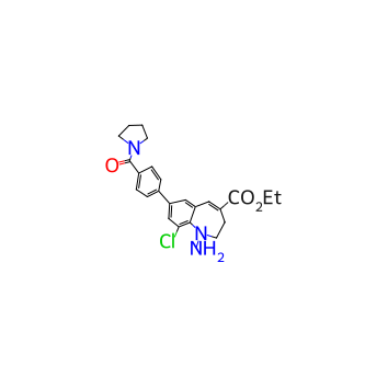 CCOC(=O)C1=Cc2cc(-c3ccc(C(=O)N4CCCC4)cc3)cc(Cl)c2N(N)CC1